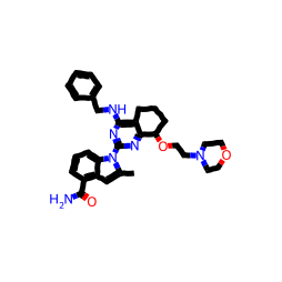 Cc1cc2c(C(N)=O)cccc2n1-c1nc(NCc2ccccc2)c2c(n1)C(OCCN1CCOCC1)CCC2